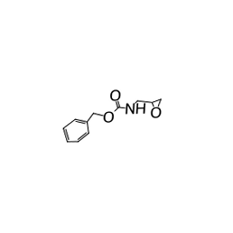 O=C(NCC1CO1)OCc1ccccc1